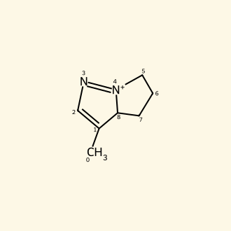 CC1=CN=[N+]2CCCC12